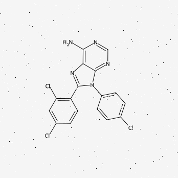 Nc1ncnc2c1nc(-c1ccc(Cl)cc1Cl)n2-c1ccc(Cl)cc1